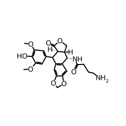 COc1cc(C2c3cc4c(cc3[C@@H](NC(=O)CCCN)[C@H]3COC(=O)[C@H]23)OCO4)cc(OC)c1O